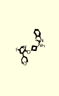 Fc1cnc(O[C@H]2C[C@@H](Nc3nc4ccccc4s3)C2)c(C2CCOCC2)c1